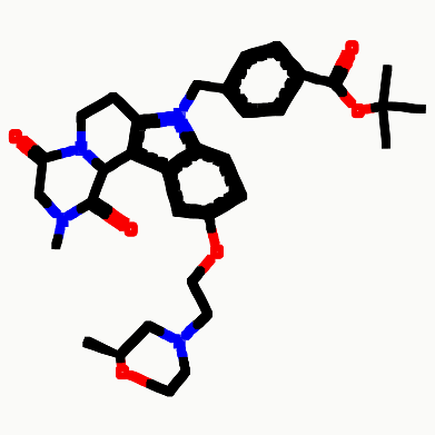 C[C@H]1CN(CCOc2ccc3c(c2)c2c(n3Cc3ccc(C(=O)OC(C)(C)C)cc3)CCN3C(=O)CN(C)C(=O)C23)CCO1